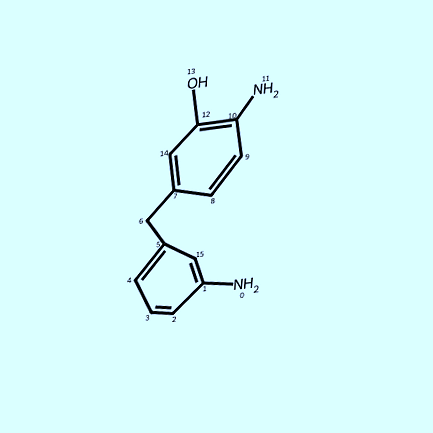 Nc1cccc(Cc2ccc(N)c(O)c2)c1